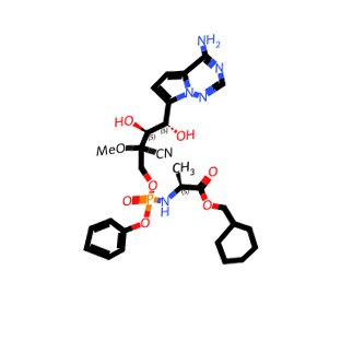 COC(C#N)(COP(=O)(N[C@@H](C)C(=O)OCC1CCCCC1)Oc1ccccc1)[C@@H](O)[C@@H](O)c1ccc2c(N)ncnn12